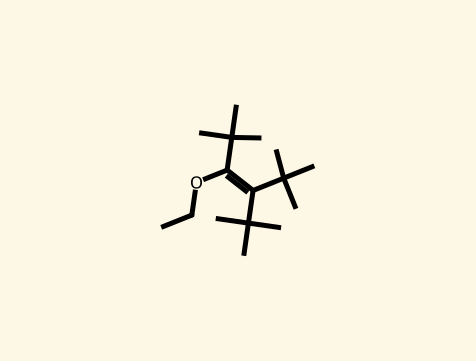 CCOC(=C(C(C)(C)C)C(C)(C)C)C(C)(C)C